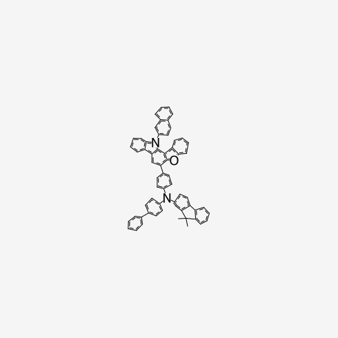 CC1(C)c2ccccc2-c2ccc(N(c3ccc(-c4ccccc4)cc3)c3ccc(-c4cc5c6ccccc6n(-c6ccc7ccccc7c6)c5c5c4oc4ccccc45)cc3)cc21